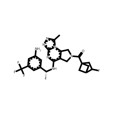 Cc1nnc2nc(N[C@H](C)c3cc(N)cc(C(F)(F)F)c3)c3c(n12)CN(C(=O)C12CC(F)C(C1)C2)C3